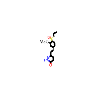 C=CC[S+]([O-])c1ccc(C=CC2=NNC(=O)CC2)cc1OC